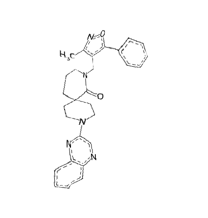 Cc1noc(-c2ccccc2)c1CN1CCCC2(CCN(c3cnc4ccccc4n3)CC2)C1=O